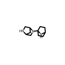 C1CC2(N3CC4CC3CN4)CCC1N2